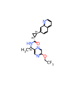 C[C@@H](NC(=O)[C@@H]1C[C@H]1c1ccc2cccnc2c1)c1cnc(OCC(F)(F)F)cn1